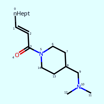 CCCCCCCC=CC(=O)N1CCC(CN(C)C)CC1